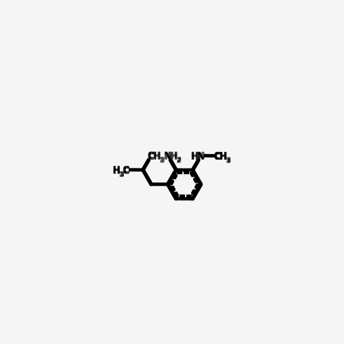 CNc1cccc(CC(C)C)c1N